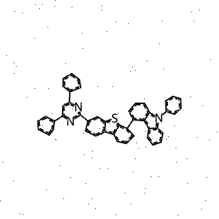 c1ccc(-c2cc(-c3ccccc3)nc(-c3ccc4c(c3)sc3c(-c5cccc6c5c5ccccc5n6-c5ccccc5)cccc34)n2)cc1